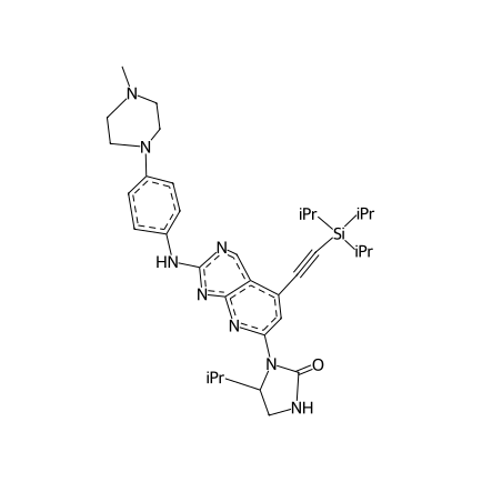 CC(C)C1CNC(=O)N1c1cc(C#C[Si](C(C)C)(C(C)C)C(C)C)c2cnc(Nc3ccc(N4CCN(C)CC4)cc3)nc2n1